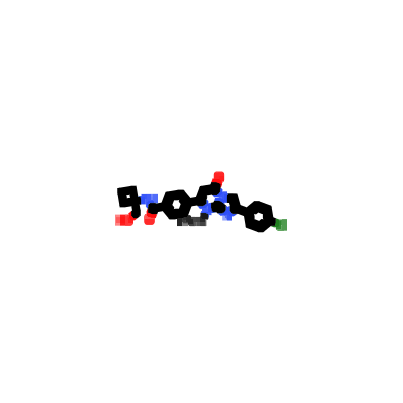 CCCCCn1c(-c2ccc(C(=O)NC3(CO)CCC3)cc2)cc(=O)n2cc(-c3ccc(Cl)cc3)nc12